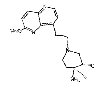 COc1ccc2nccc(CCN3CC[C@](C)(N)[C@@H](O)C3)c2n1